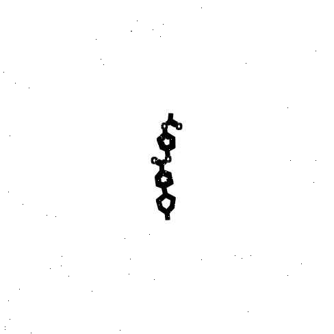 CC(=O)Oc1ccc(OC(=O)c2ccc(C3CCC(C)CC3)cc2)cc1